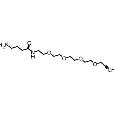 C#CCOCCOCCOCCOCCNC(=O)CCCN